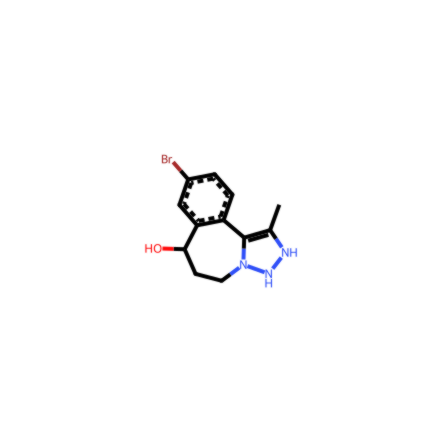 CC1=C2c3ccc(Br)cc3C(O)CCN2NN1